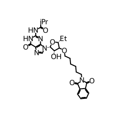 CC[C@H]1O[C@@H](n2cnc3c(=O)[nH]c(NC(=O)C(C)C)nc32)[C@@H](O)C1OCCCCCCN1C(=O)c2ccccc2C1=O